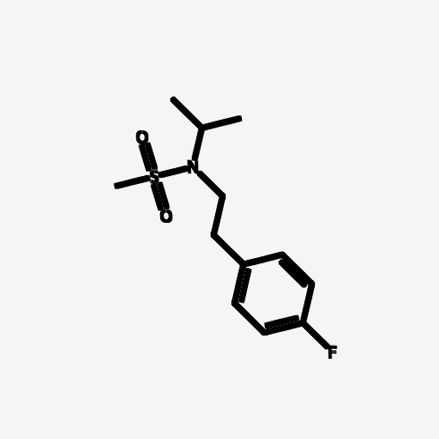 CC(C)N(CCc1ccc(F)cc1)S(C)(=O)=O